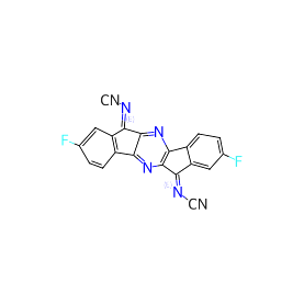 [C-]#[N+]/N=c1\c2cc(F)ccc2c2nc3/c(=N/C#N)c4cc(F)ccc4c3nc12